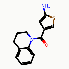 Nc1cc(C(=O)N2CCCc3ccccc32)cs1